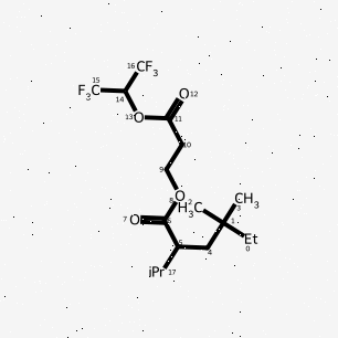 CCC(C)(C)CC(C(=O)OCCC(=O)OC(C(F)(F)F)C(F)(F)F)C(C)C